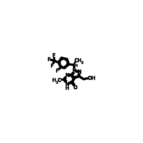 Cc1nc2c(c(CO)nn2[C@H](C)c2ccc(C(F)(F)F)c(F)c2)c(=O)[nH]1